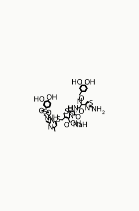 CC1=NC2=CN(CS(=O)(=O)c3ccc(O)c(O)c3)NN2C(SCC2=C(C(=O)O)N3C(=O)[C@@H](NC(=O)C(=NOCc4ccc(O)c(O)c4)c4csc(N)n4)[C@H]3SC2)=C1.[NaH]